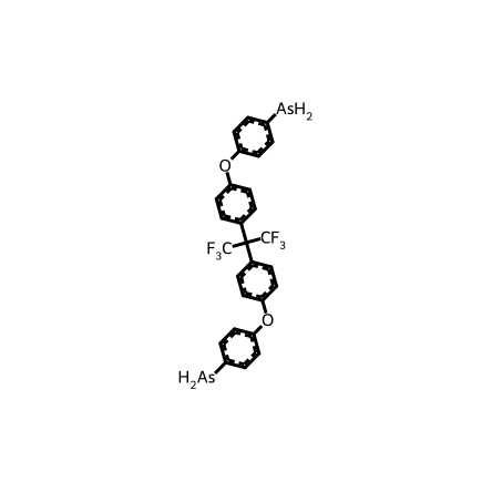 FC(F)(F)C(c1ccc(Oc2ccc([AsH2])cc2)cc1)(c1ccc(Oc2ccc([AsH2])cc2)cc1)C(F)(F)F